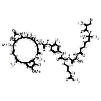 C=C(CBr)C(=O)OC(C)(C)CCCCC(=O)N[C@H](C(=O)N[C@@H](CCCNC(N)=O)C(=O)Nc1ccc(NC(=O)O[C@H]2CC(=O)N(C)c3cc(cc(OC)c3Cl)C/C(C)=C/C=C/[C@@H](OC)[C@@]3(O)C[C@H](OC(=O)N3)[C@@H](C)[C@@H]3O[C@@]23C)c(C(F)(F)F)c1)C(C)C